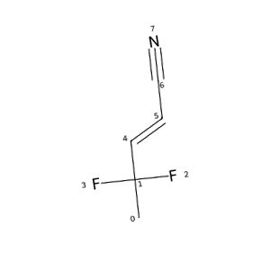 CC(F)(F)/C=C/C#N